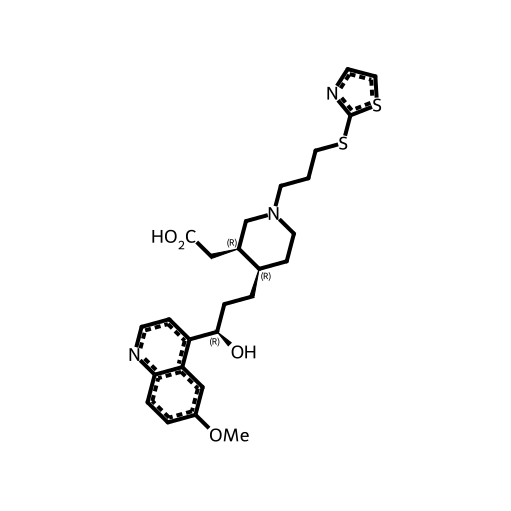 COc1ccc2nccc([C@H](O)CC[C@@H]3CCN(CCCSc4nccs4)C[C@@H]3CC(=O)O)c2c1